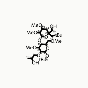 COCC1O[C@@H](OC(C)(C)C)C(OCC(C)O)C(OC)[C@@H]1O[C@@H]1OC(CO)(CC(C)(C)C)CC(OC)C1OC